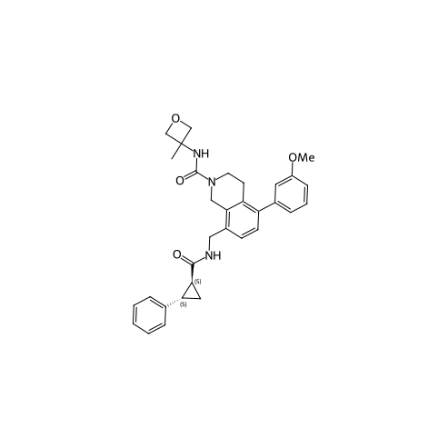 COc1cccc(-c2ccc(CNC(=O)[C@H]3C[C@@H]3c3ccccc3)c3c2CCN(C(=O)NC2(C)COC2)C3)c1